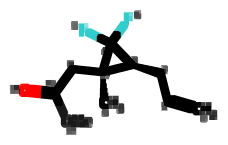 C=CC[C@@H]1C(F)(F)[C@]1(C)CC(=O)OC